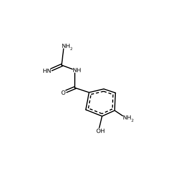 N=C(N)NC(=O)c1ccc(N)c(O)c1